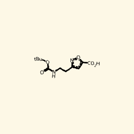 CC(C)(C)OC(=O)NCCc1cc(C(=O)O)on1